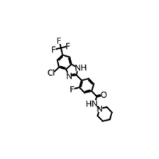 O=C(NN1CCCCC1)c1ccc(-c2nc3c(Cl)cc(C(F)(F)F)cc3[nH]2)c(F)c1